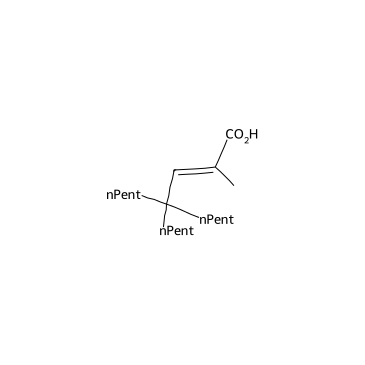 CCCCCC(/C=C(\C)C(=O)O)(CCCCC)CCCCC